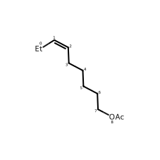 CC/C=C\CCCCCOC(C)=O